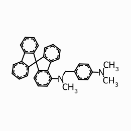 CN(C)c1ccc(CN(C)c2cccc3c2-c2ccccc2C32c3ccccc3-c3ccccc32)cc1